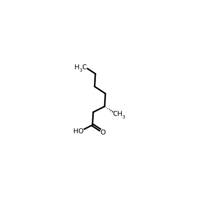 CCCC[C@H](C)CC(=O)O